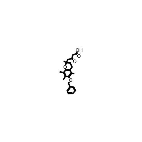 Cc1c(C)c2c(c(C)c1OCc1ccccc1)CCC(C)(CC(=O)CC(=O)O)O2